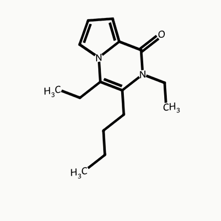 CCCCc1c(CC)n2cccc2c(=O)n1CC